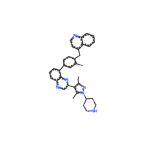 Cc1cc(-c2cccc3ncc(-c4c(C)nn(C5CCNCC5)c4C)nc23)ccc1Cc1ccnc2ccccc12